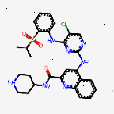 CC(C)S(=O)(=O)c1ccccc1Nc1nc(Nc2cc(C(=O)NC3CCNCC3)nc3ccccc23)ncc1Cl